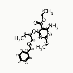 CCOC(=O)c1c(N)nc(SC)nc1OC(CC)COCc1ccccc1